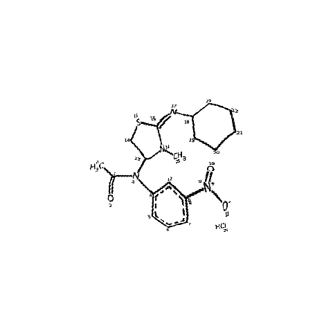 CC(=O)N(c1cccc([N+](=O)[O-])c1)C1CSC(=NC2CCCCC2)N1C.Cl